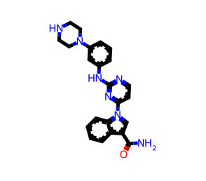 NC(=O)c1cn(-c2ccnc(Nc3cccc(N4CCNCC4)c3)n2)c2ccccc12